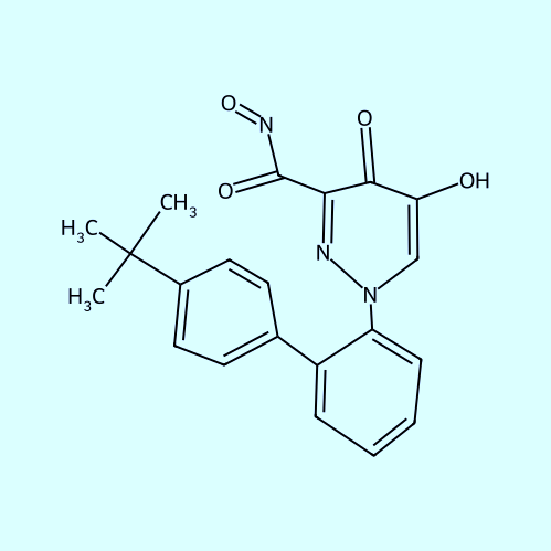 CC(C)(C)c1ccc(-c2ccccc2-n2cc(O)c(=O)c(C(=O)N=O)n2)cc1